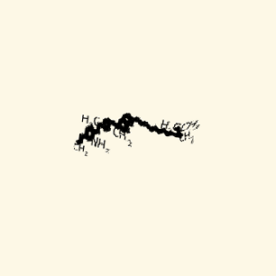 C=C/C=C/c1ccc(CC(=C)c2ccc(CC(=C)c3ccc4cc(CCCCCCCCCCC(=C)C(=C)C)ccc4c3)cc2)c(N)c1